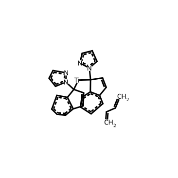 C1=C[C]([Ti][C]2(n3cccn3)C=Cc3ccccc32)(n2cccn2)c2ccccc21.C=CC=C